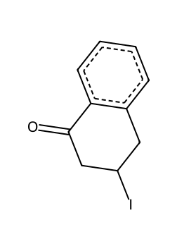 O=C1CC(I)Cc2ccccc21